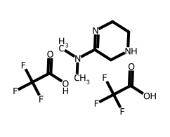 CN(C)C1=NCCNC1.O=C(O)C(F)(F)F.O=C(O)C(F)(F)F